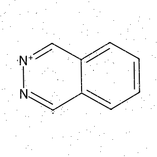 [C]1=N[N+]=Cc2ccccc21